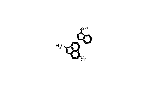 CC1=Cc2cccc3cccc1c23.[Cl-].[Cl-].[Zr+2][CH]1C=Cc2ccccc21